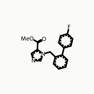 COC(=O)c1cncn1Cc1ccccc1-c1ccc(F)cc1